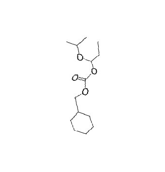 CCC(OC(=O)OCC1CCCCC1)OC(C)C